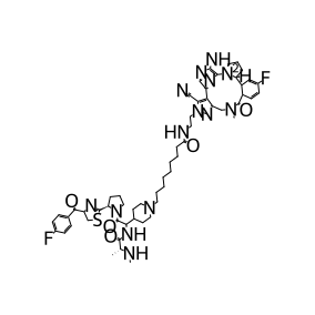 CN[C@H](C)C(=O)N[C@@H](C(=O)N1CCC[C@@H]1C1=NC(C(=O)c2ccc(F)cc2)CS1)C1CCN(CCCCCCCCC(=O)NCCn2nc3c(c2C#N)-c2cnc(N)c(n2)N2CCC[C@@H]2C2C=C(F)C=CC2C(=O)N(C)C3)CC1